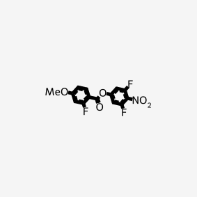 COc1ccc(C(=O)Oc2cc(F)c([N+](=O)[O-])c(F)c2)c(F)c1